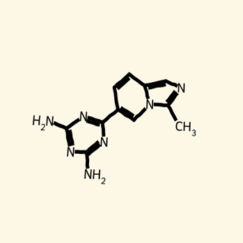 Cc1ncc2ccc(-c3nc(N)nc(N)n3)cn12